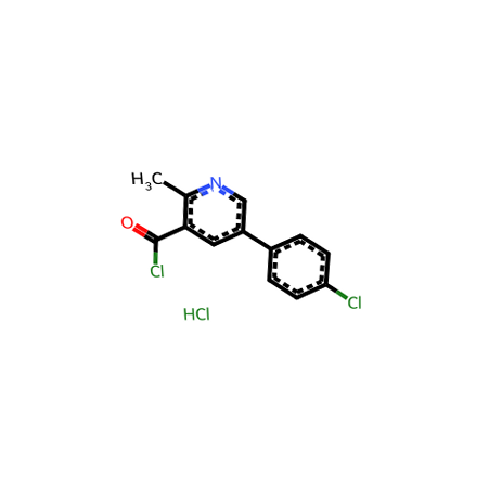 Cc1ncc(-c2ccc(Cl)cc2)cc1C(=O)Cl.Cl